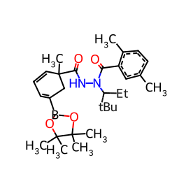 CCC(N(NC(=O)C1(C)C=CC=C(B2OC(C)(C)C(C)(C)O2)C1)C(=O)c1cc(C)ccc1C)C(C)(C)C